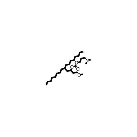 CCCCCCCCC(CCCCCCCC)CC(CCOC)OC(=O)OCCCN(C)C